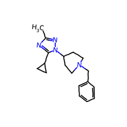 Cc1nc(C2CC2)n(C2CCN(Cc3ccccc3)CC2)n1